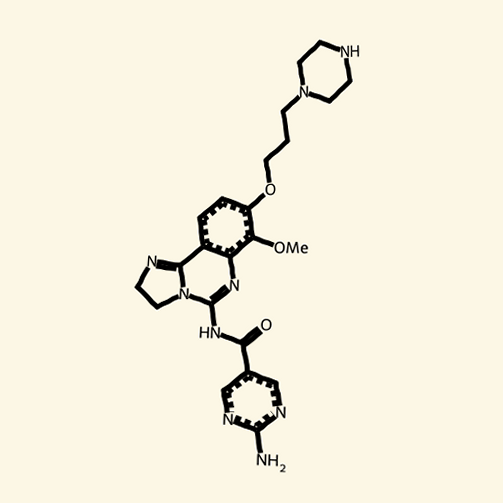 COc1c(OCCCN2CCNCC2)ccc2c1N=C(NC(=O)c1cnc(N)nc1)N1CCN=C21